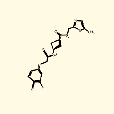 Cc1cnc(CNC(=O)C23CC(NC(=O)COc4ccc(Cl)c(F)c4)(C2)C3)s1